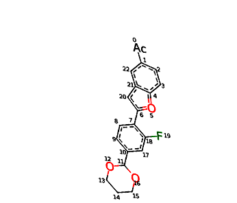 CC(=O)c1ccc2oc(-c3ccc(C4OCCCO4)cc3F)cc2c1